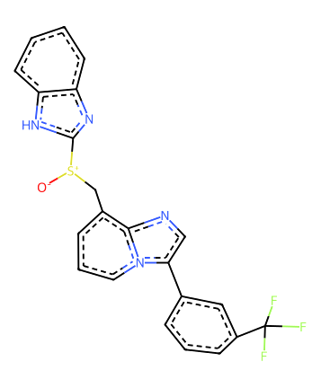 [O-][S+](Cc1cccn2c(-c3cccc(C(F)(F)F)c3)cnc12)c1nc2ccccc2[nH]1